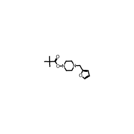 CC(C)(C)C(=O)ON1CCN(Cc2ccco2)CC1